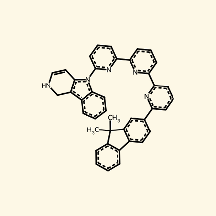 CC1(C)c2ccccc2-c2ccc(-c3cccc(-c4cccc(-c5cccc(-n6c7c(c8ccccc86)CNC=C7)n5)n4)n3)cc21